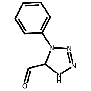 O=CC1NN=NN1c1ccccc1